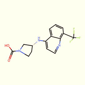 O=C(O)N1CC[C@@H](Nc2ccnc3c(C(F)(F)F)cccc23)C1